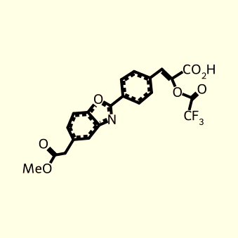 COC(=O)Cc1ccc2oc(-c3ccc(C=C(OC(=O)C(F)(F)F)C(=O)O)cc3)nc2c1